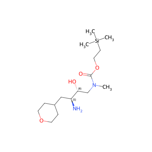 CN(C[C@@H](O)[C@@H](N)CC1CCOCC1)C(=O)OCC[Si](C)(C)C